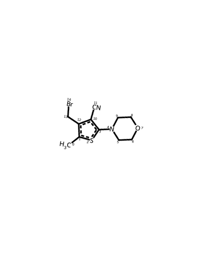 Cc1sc(N2CCOCC2)c(C#N)c1CBr